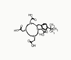 CC(C)(C)c1ccc(CC2CN(CC(=O)O)CCN(CC(=O)O)CCN(CC(=O)O)CCN2CC(=O)O)cc1